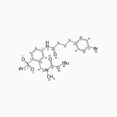 CC(C)S(=O)(=O)c1ccc(NC(=O)CCCc2ccc(Br)cc2)cc1CN(C)C(=O)OC(C)(C)C